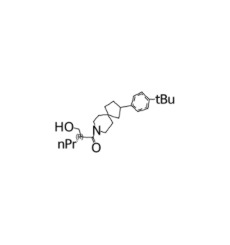 CCC[C@H](CO)C(=O)N1CCC2(CCC(c3ccc(C(C)(C)C)cc3)C2)CC1